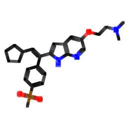 CN(C)CCOc1cnc2[nH]c(C(=CC3CCCC3)c3ccc(S(C)(=O)=O)cc3)cc2c1